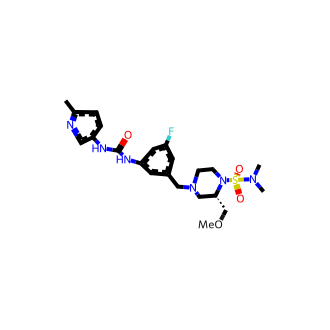 COC[C@@H]1CN(Cc2cc(F)cc(NC(=O)Nc3ccc(C)nc3)c2)CCN1S(=O)(=O)N(C)C